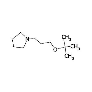 CC(C)(C)OCCCN1CCCC1